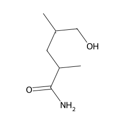 C[C](CO)CC(C)C(N)=O